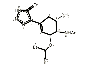 CCC(CC)O[C@@H]1C=C(n2nn[nH]c2=O)C[C@H](N)[C@H]1NC(C)=O